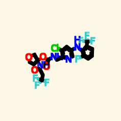 O=C(CC(F)(F)F)N[C@]1(OC(=O)NCc2ncc(Nc3c(F)cccc3C(F)(F)F)cc2Cl)CCOC1